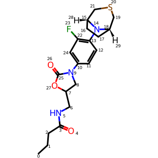 CCCC(=O)NCC1CN(c2ccc(N3[C@@H]4CC[C@H]3CSC4)c(F)c2)C(=O)O1